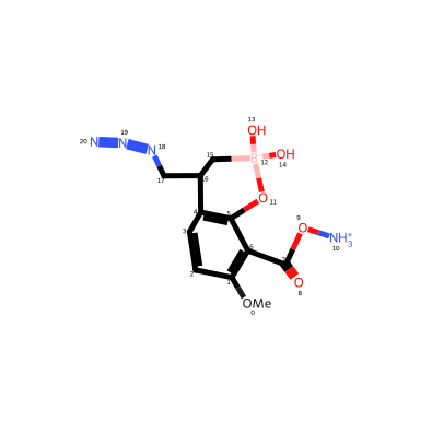 COc1ccc2c(c1C(=O)O[NH3+])O[B-](O)(O)CC2CN=[N+]=[N-]